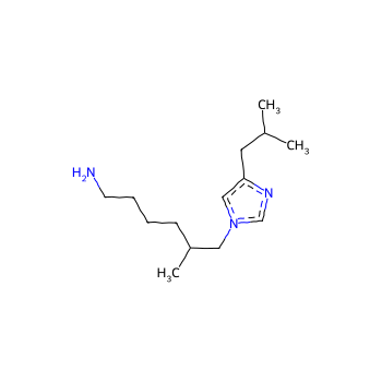 CC(C)Cc1cn(CC(C)CCCCN)cn1